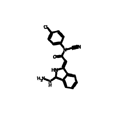 N#CN(C(=O)/C=C1\NC(NN)c2ccccc21)c1ccc(Cl)cc1